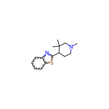 CN1CCC(c2nc3ccccc3s2)C(C)(C)C1